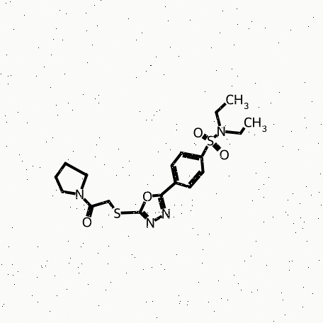 CCN(CC)S(=O)(=O)c1ccc(-c2nnc(SCC(=O)N3CCCC3)o2)cc1